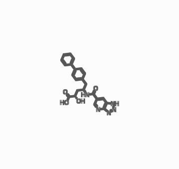 O=C(NC(Cc1ccc(-c2ccccc2)cc1)C[C@@H](O)C(=O)O)c1cnc2nn[nH]c2c1